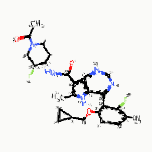 CC(=O)N1CC[C@H](NC(=O)c2c(C)[nH]c3c(-c4c(OCC5CC5)ccc(C)c4F)ncnc23)[C@@H](F)C1